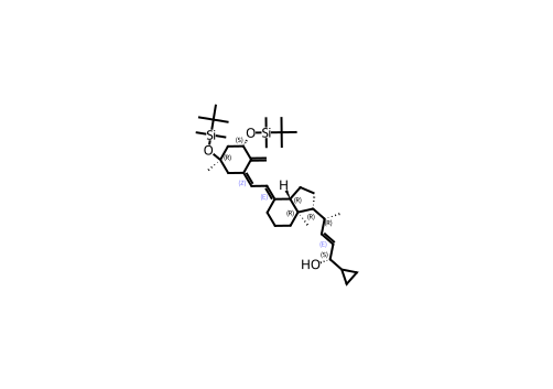 C=C1/C(=C\C=C2/CCC[C@]3(C)[C@@H]([C@H](C)/C=C/[C@@H](O)C4CC4)CC[C@@H]23)C[C@@](C)(O[Si](C)(C)C(C)(C)C)C[C@@H]1O[Si](C)(C)C(C)(C)C